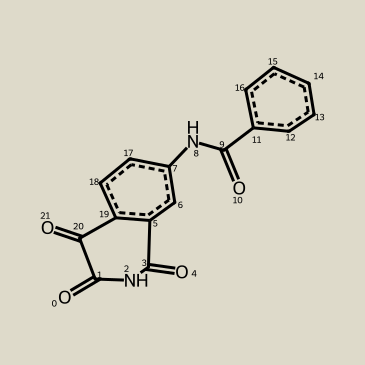 O=C1NC(=O)c2cc(NC(=O)c3ccccc3)ccc2C1=O